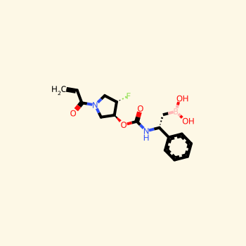 C=CC(=O)N1C[C@H](OC(=O)N[C@H](CB(O)O)c2ccccc2)[C@@H](F)C1